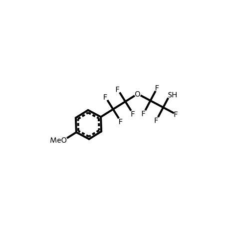 COc1ccc(C(F)(F)C(F)(F)OC(F)(F)C(F)(F)S)cc1